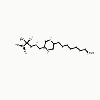 CCCCCCCCCCCCCCCCCC1COC(COCC(O)(Br)P(=O)=O)CO1